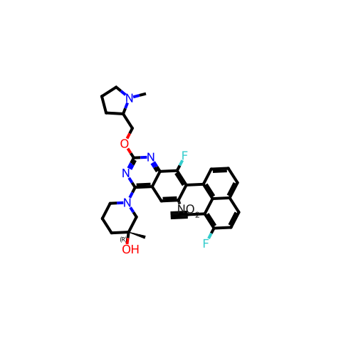 C#Cc1c(F)ccc2cccc(-c3c([N+](=O)[O-])cc4c(N5CCC[C@@](C)(O)C5)nc(OCC5CCCN5C)nc4c3F)c12